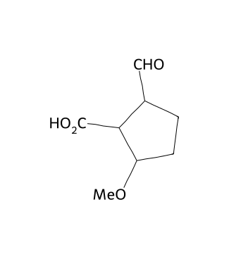 COC1CCC(C=O)C1C(=O)O